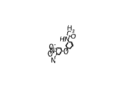 CC(=O)Nc1cccc(Oc2ccc([N+](=O)[O-])c(C#N)c2)c1